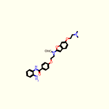 CN(C)CCOc1ccc2cc(N(C=O)CCOc3ccc(C(=O)Nc4ccccc4N)cc3)oc2c1